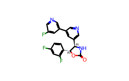 O=C1N[C@H](c2cncc(-c3cncc(F)c3)c2)[C@@H](c2ccc(F)cc2F)O1